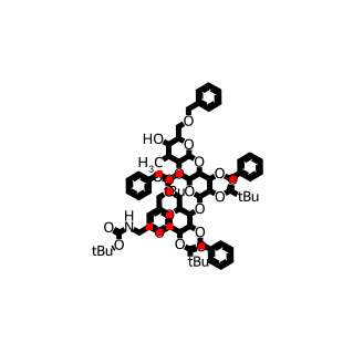 CC1C(O)C(COCc2ccccc2)OC(OC2C(COCc3ccccc3)OC(OC3C(COCc4ccccc4)OC(OCCNC(=O)OC(C)(C)C)C(OC(=O)C(C)(C)C)C3OCc3ccccc3)C(OC(=O)C(C)(C)C)C2OCc2ccccc2)C1OC(=O)C(C)(C)C